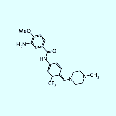 COc1ccc(C(=O)NC2=CC(C(F)(F)F)C(=CN3CCN(C)CC3)C=C2)cc1N